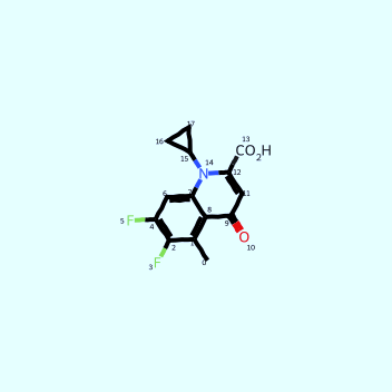 Cc1c(F)c(F)cc2c1c(=O)cc(C(=O)O)n2C1CC1